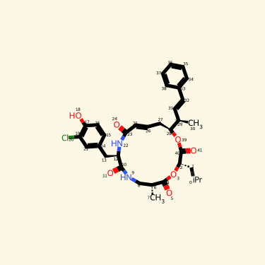 CC(C)C[C@@H]1OC(=O)[C@H](C)CNC(=O)[C@@H](Cc2ccc(O)c(Cl)c2)NC(=O)/C=C/C[C@@H]([C@H](C)/C=C/c2ccccc2)OC1=O